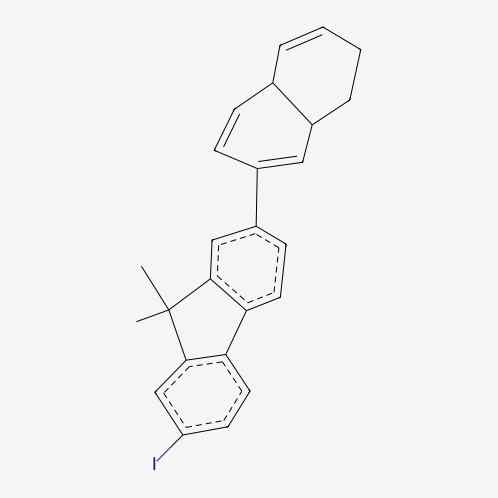 CC1(C)c2cc(I)ccc2-c2ccc(C3=CC4CCC=CC4C=C3)cc21